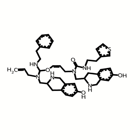 C=CCN(CC1Cc2ccc(O)cc2CN1)C(NCCc1ccccc1)O/C=C\CN(CC1Cc2ccc(O)cc2CN1)C(=O)NCCc1ccsc1